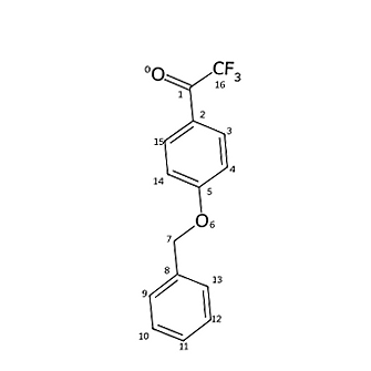 O=C(c1ccc(OCc2ccccc2)cc1)C(F)(F)F